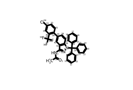 CC(=O)Nc1nn(C(c2ccccc2)(c2ccccc2)c2ccccc2)c2ccc(-c3ccc(Cl)cc3C(F)(F)F)cc12